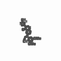 C#CCN(c1cc(OC)cc(OC)c1)c1ccc2ncc(-c3cnn(C)c3)c(=O)n2c1